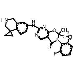 CC1(C)Oc2nc(Nc3ccc4c(c3)CNCC43CC3)ncc2C(=O)N1c1c(F)cccc1Cl